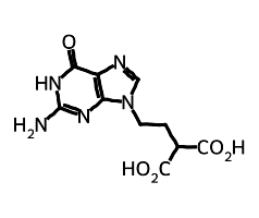 Nc1nc2c(ncn2CCC(C(=O)O)C(=O)O)c(=O)[nH]1